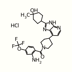 CC1(O)CCC(c2nc3c(C4CCN(C(=O)c5ccc(OC(F)(F)F)cc5N)CC4)ccnc3[nH]2)CC1.Cl